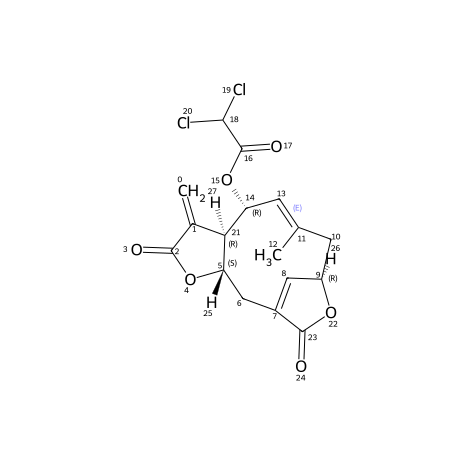 C=C1C(=O)O[C@H]2CC3=C[C@@H](C/C(C)=C/[C@@H](OC(=O)C(Cl)Cl)[C@H]12)OC3=O